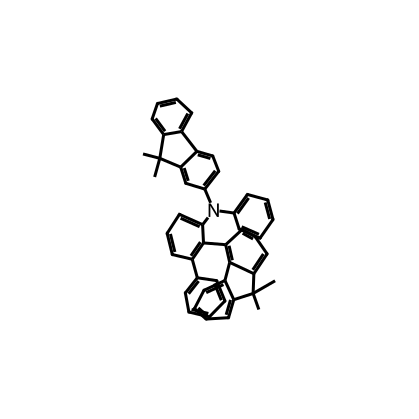 CC1(C)c2ccccc2-c2ccc(N(c3ccccc3)c3cccc(-c4ccccc4)c3-c3cccc4c3-c3ccccc3C4(C)C)cc21